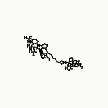 C=C1CCC(N2C(=C)N(C)c3c(CCCCCC4CN(C(=O)OC(C)(C)C)C4)cccc32)C(=C)N1